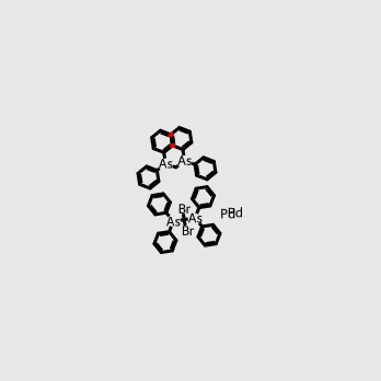 BrC(Br)([As](c1ccccc1)c1ccccc1)[As](c1ccccc1)c1ccccc1.[Pd].[Pd].c1ccc([As](C[As](c2ccccc2)c2ccccc2)c2ccccc2)cc1